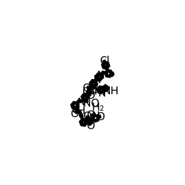 CC1(C)CCC(CN2CCN(c3ccc(C(=O)NS(=O)(=O)c4ccc(NCC5CCCN(C(=O)CC#Cc6cccc7c6C(=O)N(C6CCC(=O)NC6=O)C7=O)C5)c([N+](=O)[O-])c4)c(Oc4cnc5[nH]ccc5c4)c3)CC2)=C(c2ccc(Cl)cc2)C1